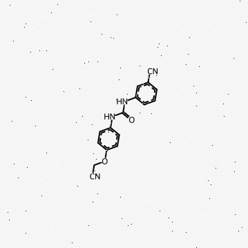 N#CCOc1ccc(NC(=O)Nc2cccc(C#N)c2)cc1